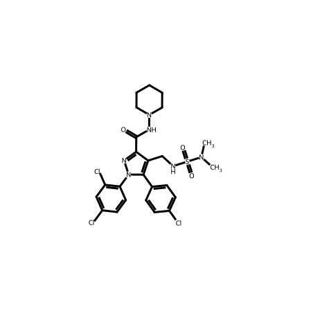 CN(C)S(=O)(=O)NCc1c(C(=O)NN2CCCCC2)nn(-c2ccc(Cl)cc2Cl)c1-c1ccc(Cl)cc1